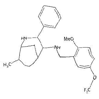 COc1ccc(OC(F)(F)F)cc1CNC1C2CC(C)C(C2)NC1c1ccccc1